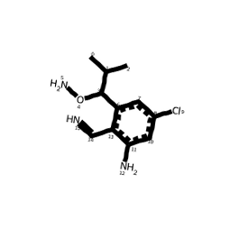 CC(C)C(ON)c1cc(Cl)cc(N)c1C=N